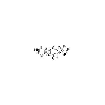 Cl.FC(F)C(F)(F)Oc1ccc(OC2CCNCC2)cc1